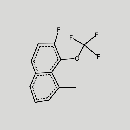 Cc1cccc2ccc(F)c(OC(F)(F)F)c12